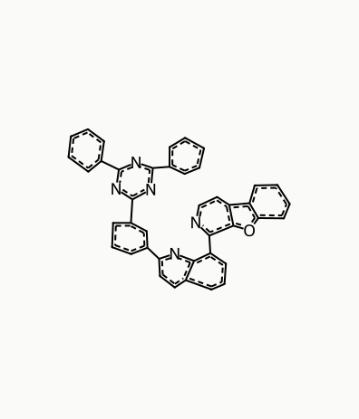 c1ccc(-c2nc(-c3ccccc3)nc(-c3cccc(-c4ccc5cccc(-c6nccc7c6oc6ccccc67)c5n4)c3)n2)cc1